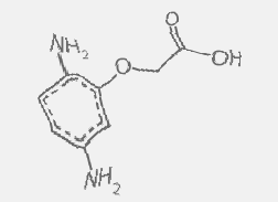 Nc1ccc(N)c(OCC(=O)O)c1